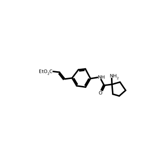 CCOC(=O)C=Cc1ccc(NC(=O)C2(N)CCCC2)cc1